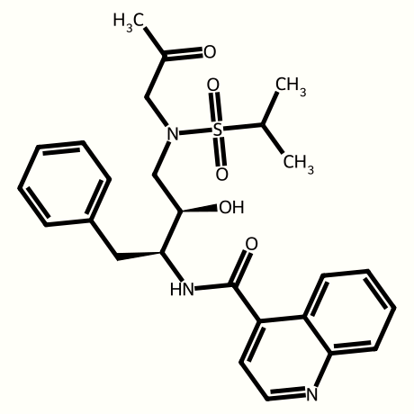 CC(=O)CN(C[C@@H](O)[C@H](Cc1ccccc1)NC(=O)c1ccnc2ccccc12)S(=O)(=O)C(C)C